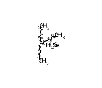 CCCCCCCCP(CCCCCCCC)CCCCCCCC.S.[SeH2]